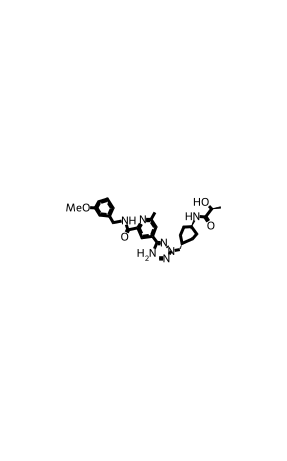 C=NN(C[C@H]1CC[C@H](NC(=O)[C@H](C)O)CC1)/N=C(\N)c1cc(C)nc(C(=O)NCc2cccc(OC)c2)c1